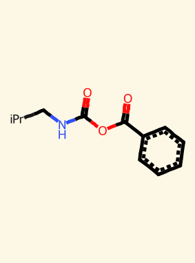 CC(C)CNC(=O)OC(=O)c1ccccc1